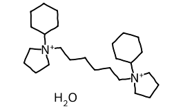 C1CCC([N+]2(CCCCCC[N+]3(C4CCCCC4)CCCC3)CCCC2)CC1.O